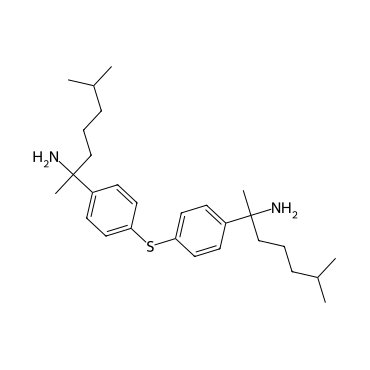 CC(C)CCCC(C)(N)c1ccc(Sc2ccc(C(C)(N)CCCC(C)C)cc2)cc1